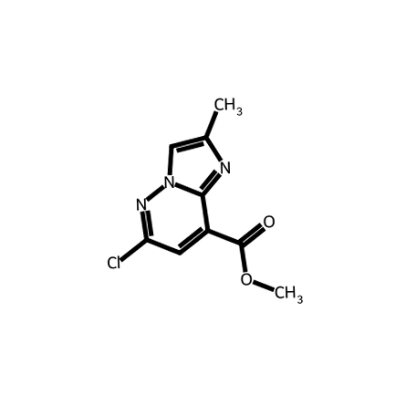 COC(=O)c1cc(Cl)nn2cc(C)nc12